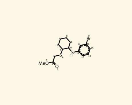 COC(=O)CSC1CCCCC1Sc1cccc(Br)c1